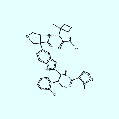 CCNC(=O)[C@H](NC(=O)C1(c2ccc3[nH]c([C@@H](NC(=O)c4ccnn4C)[C@H](c4ccccc4Cl)C(C)C)nc3c2)CCOC1)C1(C)CCC1